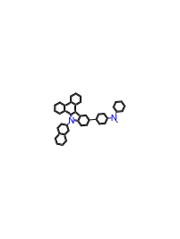 CN(c1ccccc1)c1ccc(-c2ccc3c(c2)c2c4ccccc4c4ccccc4c2n3-c2ccc3ccccc3c2)cc1